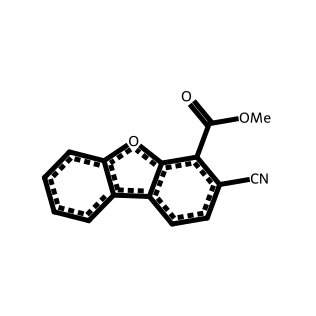 COC(=O)c1c(C#N)ccc2c1oc1ccccc12